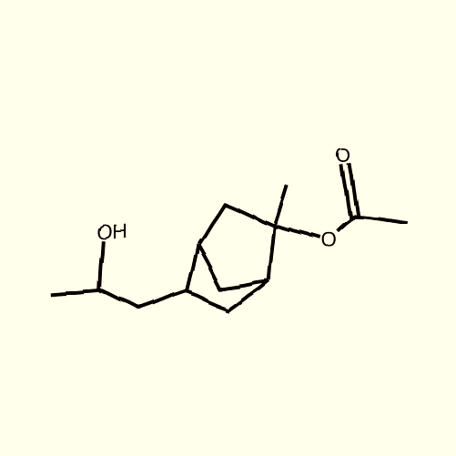 CC(=O)OC1(C)CC2CC1CC2CC(C)O